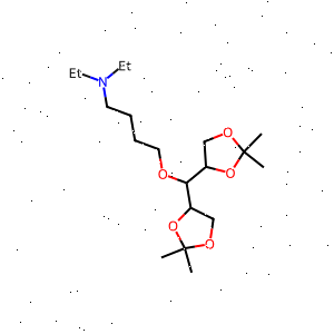 CCN(CC)CCCCOC(C1COC(C)(C)O1)C1COC(C)(C)O1